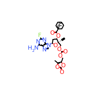 C#C[C@]1(COC(=O)OCc2oc(=O)oc2C)O[C@@H](n2cnc3c(N)nc(F)nc32)C[C@@H]1OC(=O)C12CCC(CC1)CC2